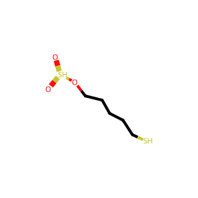 O=[SH](=O)OCCCCCS